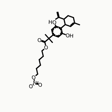 C=C(C)C1CCC(C)=CC1c1c(O)cc(C(C)(C)C(=O)OCCCCCCO[N+](=O)[O-])cc1O